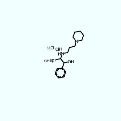 CCCCCCCC(NCCCN1CCCCC1)C(O)c1ccccc1.Cl.Cl